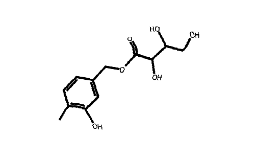 Cc1ccc(COC(=O)C(O)C(O)CO)cc1O